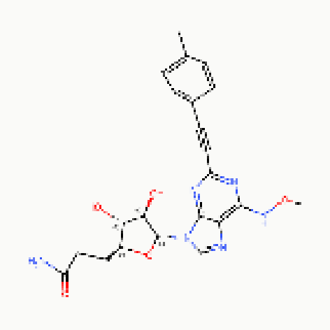 CONc1nc(C#Cc2ccc(C)cc2)nc2c1ncn2[C@@H]1O[C@@H](CCC(N)=O)[C@H](O)[C@H]1O